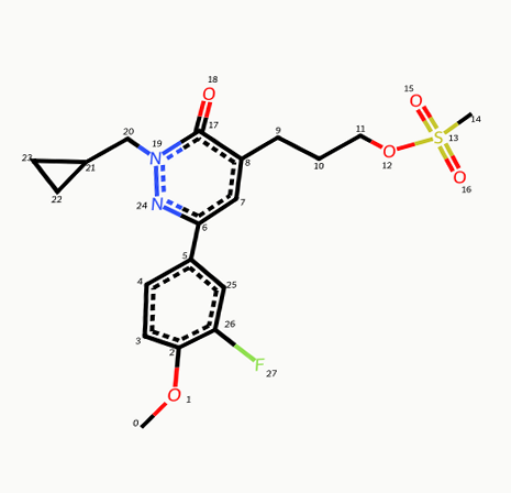 COc1ccc(-c2cc(CCCOS(C)(=O)=O)c(=O)n(CC3CC3)n2)cc1F